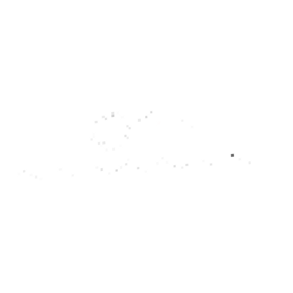 CCCCCCCCCCCCCCCC.CCOCc1ccccc1